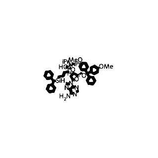 COc1ccc(C(OC[C@H]2O[C@@H](n3cnc4c(N)ncnc43)C[C@@H]2O[PH](O)(CC=CC[SiH2]C(c2ccccc2)c2ccccc2)N(C(C)C)C(C)C)(c2ccccc2)c2ccc(OC)cc2)cc1